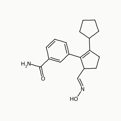 NC(=O)c1cccc(C2=C(C3CCCC3)CCC2C=NO)c1